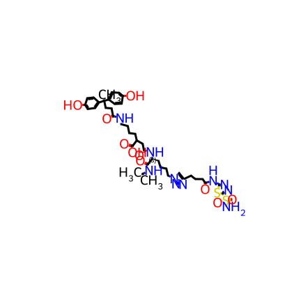 CC(C)NC(=O)[C@H](CCCCn1cc(CCCC(=O)Nc2nnc(S(N)(=O)=O)s2)nn1)NC(=O)CC(CCCCNC(=O)CCC(C)(c1ccc(O)cc1)c1ccc(O)cc1)C(=O)O